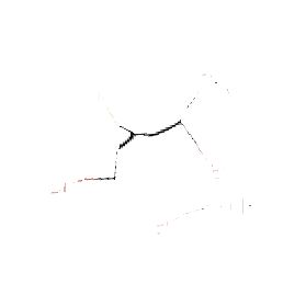 CC(Br)C(F)CBr.O=C(O)Br